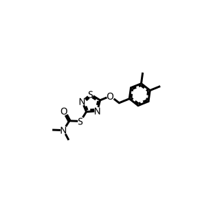 Cc1ccc(COc2nc(SC(=O)N(C)C)ns2)cc1C